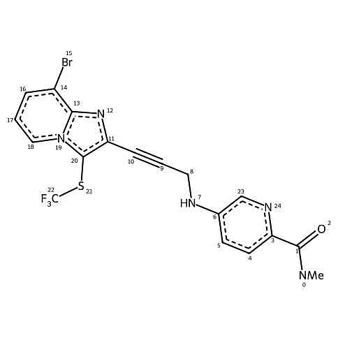 CNC(=O)c1ccc(NCC#Cc2nc3c(Br)cccn3c2SC(F)(F)F)cn1